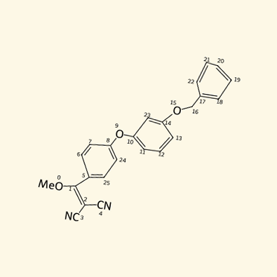 COC(=C(C#N)C#N)c1ccc(Oc2cccc(OCc3ccccc3)c2)cc1